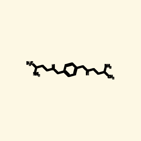 CC(N)CCNCc1ccc(CNCCC(C)N)cc1